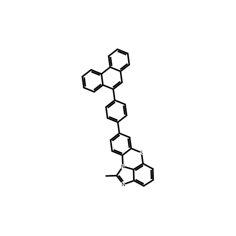 Cc1nc2cccc3c2n1-c1ccc(-c2ccc(-c4cc5ccccc5c5ccccc45)cc2)cc1S3